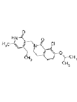 CCc1cc(C)[nH]c(=O)c1CN1CCc2ccc(OC(C)C)c(Cl)c2C1=O